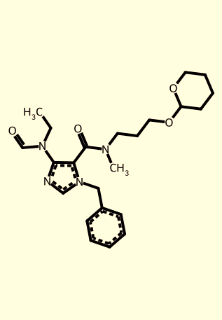 CCN(C=O)c1ncn(Cc2ccccc2)c1C(=O)N(C)CCCOC1CCCCO1